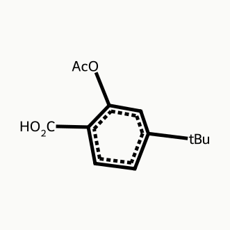 CC(=O)Oc1cc(C(C)(C)C)ccc1C(=O)O